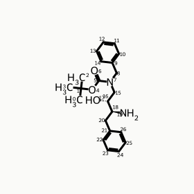 CC(C)(C)OC(=O)N(Cc1ccccc1)C[C@@H](O)[C@@H](N)Cc1ccccc1